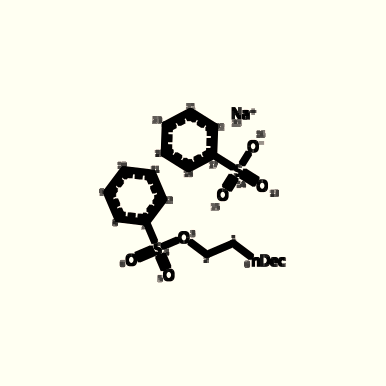 CCCCCCCCCCCCOS(=O)(=O)c1ccccc1.O=S(=O)([O-])c1ccccc1.[Na+]